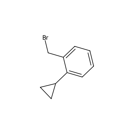 BrCc1ccccc1C1CC1